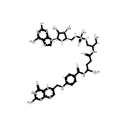 Nc1nc2ncc(CNc3ccc(C(=O)NC(CCC(=O)NC(CO)COP(=O)(O)OC[C@H]4O[C@@H](n5cnc6c(N)nc(F)nc65)C(O)[C@H]4O)C(=O)O)cc3)nc2c(=O)[nH]1